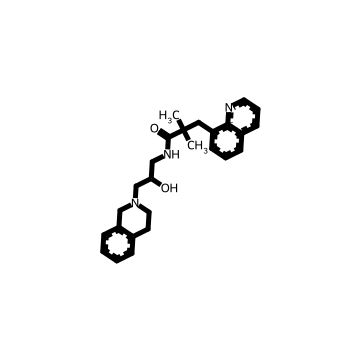 CC(C)(Cc1cccc2cccnc12)C(=O)NCC(O)CN1CCc2ccccc2C1